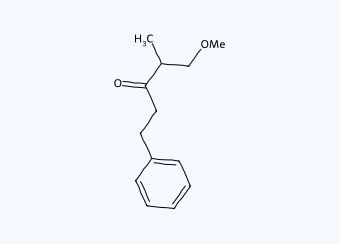 COCC(C)C(=O)CCc1ccccc1